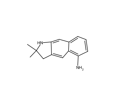 CC1(C)Cc2cc3c(N)cccc3cc2N1